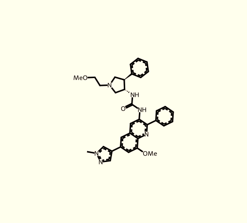 COCCN1C[C@@H](NC(=O)Nc2cc3cc(-c4cnn(C)c4)cc(OC)c3nc2-c2ccccc2)[C@H](c2ccccc2)C1